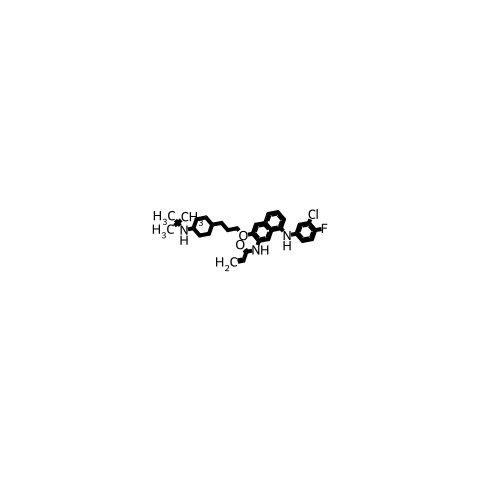 C=CC(=O)Nc1cc2c(Nc3ccc(F)c(Cl)c3)cccc2cc1OCCCC1CCC(NC(C)(C)C)CC1